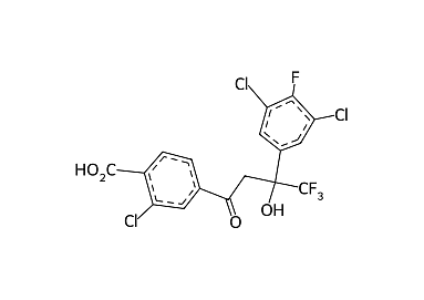 O=C(CC(O)(c1cc(Cl)c(F)c(Cl)c1)C(F)(F)F)c1ccc(C(=O)O)c(Cl)c1